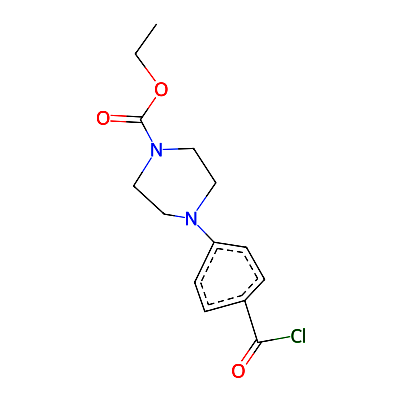 CCOC(=O)N1CCN(c2ccc(C(=O)Cl)cc2)CC1